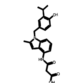 Cc1cc2c(NC(=O)CC(=O)O)cccc2n1Cc1ccc(O)c(C(C)C)c1